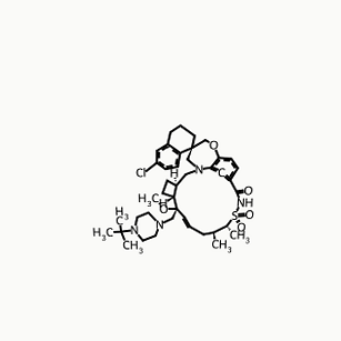 CO[C@@]1(CN2CCN(C(C)(C)C)CC2)/C=C/C[C@H](C)[C@@H](C)S(=O)(=O)NC(=O)c2ccc3c(c2)N(C[C@@H]2CC[C@H]21)C[C@@]1(CCCc2cc(Cl)ccc21)CO3